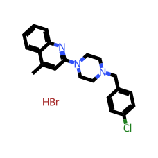 Br.Cc1cc(N2CCN(Cc3ccc(Cl)cc3)CC2)nc2ccccc12